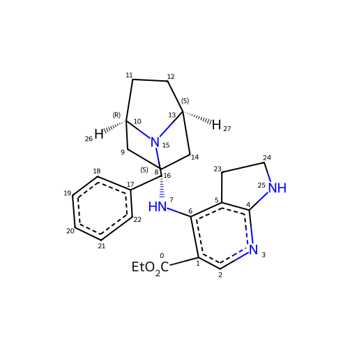 CCOC(=O)c1cnc2c(c1N[C@@H]1C[C@H]3CC[C@@H](C1)N3Cc1ccccc1)CCN2